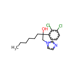 CCCCCCC(O)(Cn1ccnc1)c1cccc(Cl)c1Cl